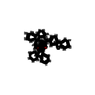 c1ccc2c(c1)-c1cc(N(c3ccc4c(c3)oc3ccccc34)c3cccc4c3C3(c5ccccc5-4)C4CC5CC(C4)CC3C5)ccc1C21CCCCC1